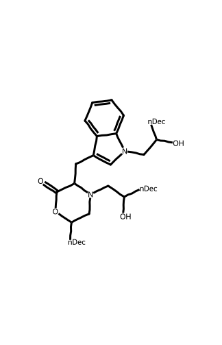 CCCCCCCCCCC(O)CN1CC(CCCCCCCCCC)OC(=O)C1Cc1cn(CC(O)CCCCCCCCCC)c2ccccc12